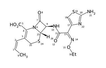 C/C=C\C1=C(C(=O)O)N2C(=O)[C@@H](NC(=O)/C(=N\OCC)c3csc(N)n3)[C@@H]2SC1